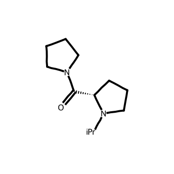 CC(C)N1CCC[C@H]1C(=O)N1CCCC1